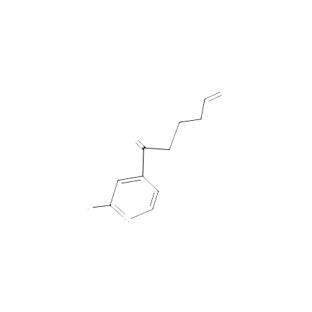 O=CCCCC(=O)c1ccnc(Br)c1